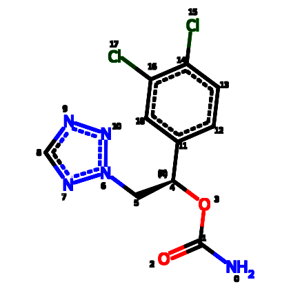 NC(=O)O[C@@H](Cn1ncnn1)c1ccc(Cl)c(Cl)c1